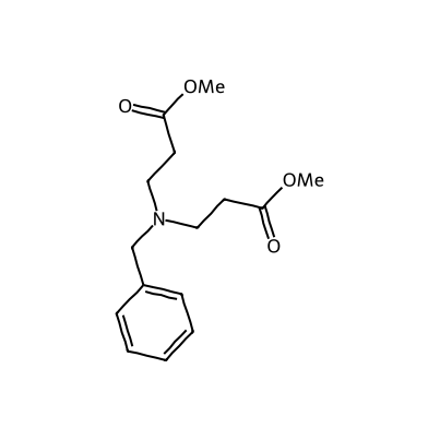 COC(=O)CCN(CCC(=O)OC)Cc1ccccc1